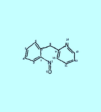 O=Nc1ccccc1Cc1ccccn1